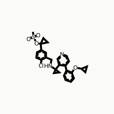 CS(=O)(=O)OC1(c2ccc(Cl)c(CNC3(c4cnccc4-c4ccccc4OC4CC4)CC3)c2)CC1